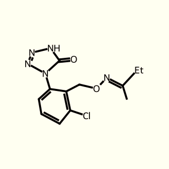 CCC(C)=NOCc1c(Cl)cccc1-n1nn[nH]c1=O